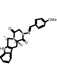 COc1ccc(/C=N/N2CC(=O)N3[C@@H](Cc4c([nH]c5ccccc45)[C@@H]3C)C2=O)cc1